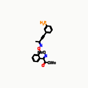 CO/N=C(/C(=O)OC)c1ccccc1CO/N=C(\C)C#Cc1cccc(P)c1